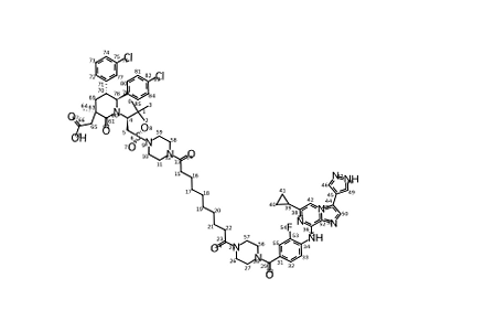 CC(C)(C)[C@@H](CS(=O)(=O)N1CCN(C(=O)CCCCCCCCC(=O)N2CCN(C(=O)c3ccc(Nc4nc(C5CC5)cn5c(-c6cn[nH]c6)cnc45)c(F)c3)CC2)CC1)N1C(=O)[C@@](C)(CC(=O)O)C[C@H](c2cccc(Cl)c2)[C@H]1c1ccc(Cl)cc1